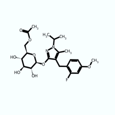 COc1ccc(Cc2c(O[C@@H]3O[C@H](COC(C)=O)[C@@H](O)[C@H](O)[C@H]3O)nn(C(C)C)c2C)c(F)c1